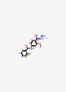 COc1cc(NC(=O)c2ccccc2F)ccc1C(=O)NN